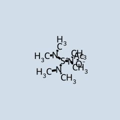 CC(=O)[O-].CN(C)[S+](N(C)C)N(C)C